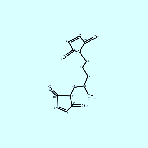 CC(CCCN1C(=O)C=CC1=O)CC1C(=O)C=CC1=O